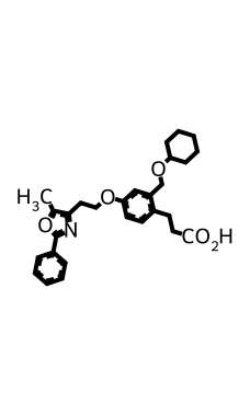 Cc1oc(-c2ccccc2)nc1CCOc1ccc(CCC(=O)O)c(COC2CCCCC2)c1